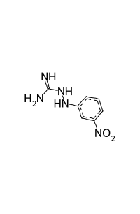 N=C(N)NNc1cccc([N+](=O)[O-])c1